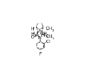 Cn1c2c(c(=O)n1-c1ccc(F)cc1Cl)[C@H]1CC[C@]2(C)C1(C)C